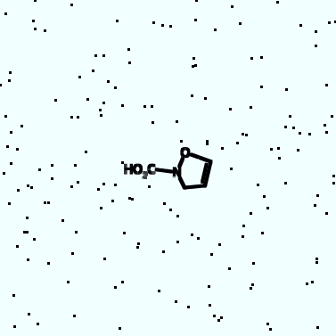 O=C(O)N1CC=CO1